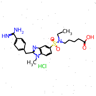 CCN(CCCCC(=O)O)S(=O)(=O)c1ccc2c(c1)nc(Cc1ccc(C(=N)N)cc1)n2C.Cl